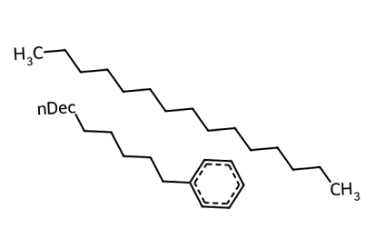 CCCCCCCCCCCCCCC.CCCCCCCCCCCCCCCc1ccccc1